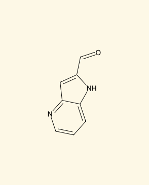 O=Cc1cc2ncccc2[nH]1